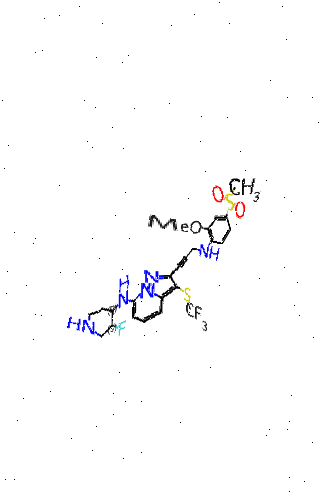 COc1cc(S(C)(=O)=O)ccc1NCC#Cc1nn2c(N[C@@H]3CCNC[C@@H]3F)cccc2c1SC(F)(F)F